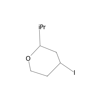 CC(C)C1CC(I)CCO1